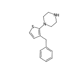 c1ccc(Cc2ccsc2N2CCNCC2)cc1